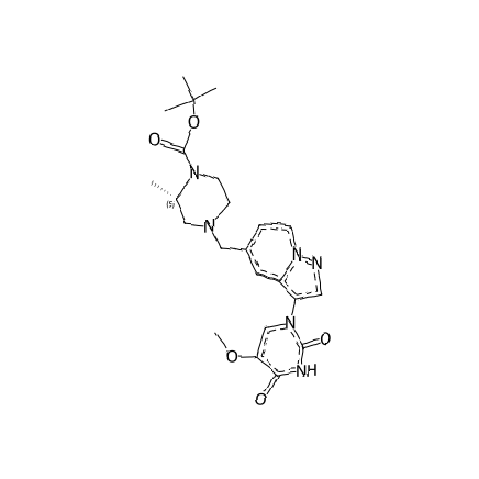 COc1cn(-c2cnn3ccc(CN4CCN(C(=O)OC(C)(C)C)[C@@H](C)C4)cc23)c(=O)[nH]c1=O